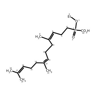 CCOP(=O)(CCC=C(C)CCC=C(C)CCC=C(C)C)C(=O)O